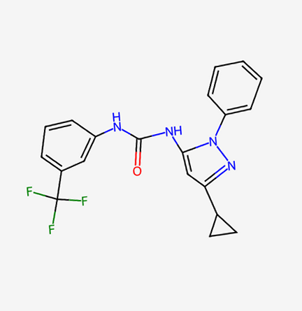 O=C(Nc1cccc(C(F)(F)F)c1)Nc1cc(C2CC2)nn1-c1ccccc1